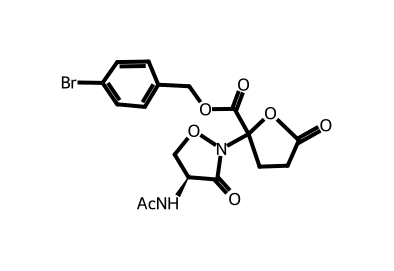 CC(=O)N[C@H]1CON(C2(C(=O)OCc3ccc(Br)cc3)CCC(=O)O2)C1=O